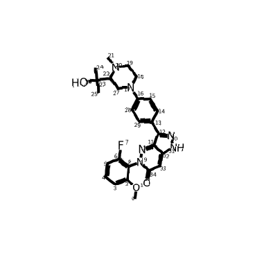 COc1cccc(F)c1-n1nc2c(-c3ccc(N4CCN(C)C(C(C)(C)O)C4)cc3)n[nH]c2cc1=O